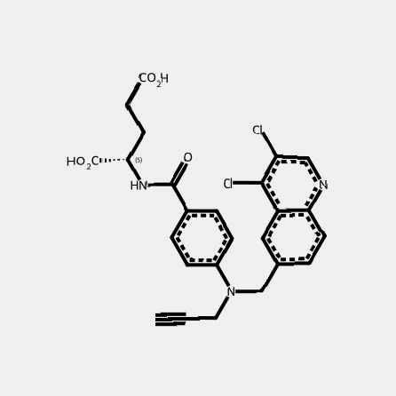 C#CCN(Cc1ccc2ncc(Cl)c(Cl)c2c1)c1ccc(C(=O)N[C@@H](CCC(=O)O)C(=O)O)cc1